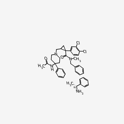 CC(=O)NC1(c2ccccc2)CCN(CC2CC2(C(=O)N(C)Cc2ccccc2)c2ccc(Cl)c(Cl)c2)CC1.C[C@@H](N)c1ccccc1